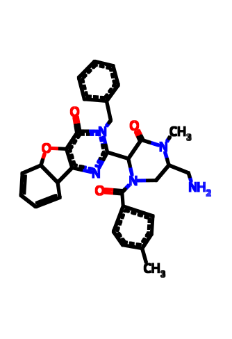 Cc1ccc(C(=O)N2CC(CN)N(C)C(=O)C2c2nc3c(c(=O)n2Cc2ccccc2)OC2C=CC=CC32)cc1